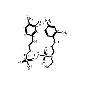 CCN(CCNc1ccc(N)cc1C)S(C)(=O)=O.Cc1cc(NCCNS(=O)(=O)O)ccc1N